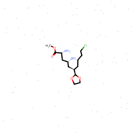 COC(=O)[C@H](N)C[C@H](N)C[C@@H](CCCCCl)C1OCCO1